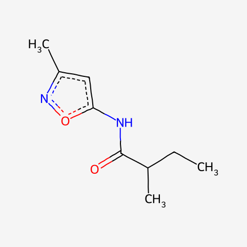 CCC(C)C(=O)Nc1cc(C)no1